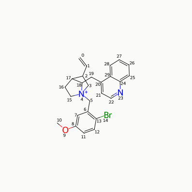 C=CC1C[N+]2(Cc3cc(OC)ccc3Br)CCC1C2Cc1ccnc2ccccc12